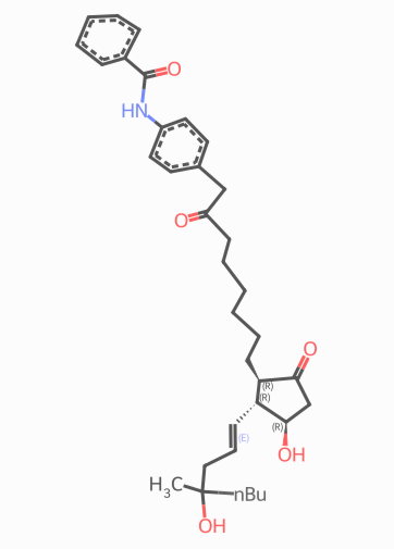 CCCCC(C)(O)C/C=C/[C@H]1[C@H](O)CC(=O)[C@@H]1CCCCCCC(=O)Cc1ccc(NC(=O)c2ccccc2)cc1